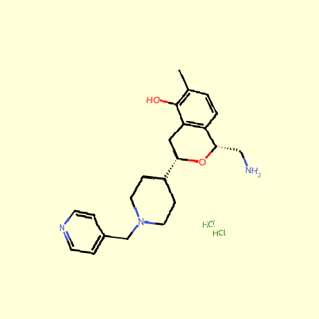 Cc1ccc2c(c1O)C[C@@H](C1CCN(Cc3ccncc3)CC1)O[C@H]2CN.Cl.Cl